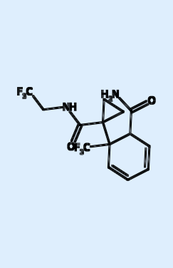 NC(=O)C1C=CC=CC1(C(F)(F)F)C1(C(=O)NCC(F)(F)F)CC1